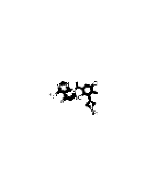 COc1c(C(C)n2ccc(=O)c3c(N)ncnc32)cc(Cl)c(C)c1C1CN(C(C)C)C1